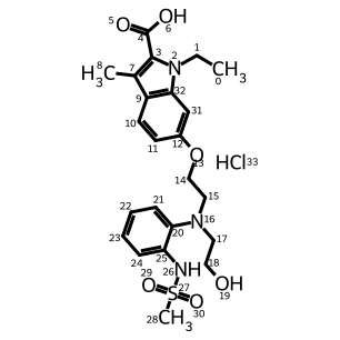 CCn1c(C(=O)O)c(C)c2ccc(OCCN(CCO)c3ccccc3NS(C)(=O)=O)cc21.Cl